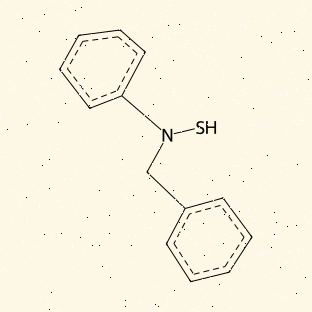 SN(Cc1ccccc1)c1ccccc1